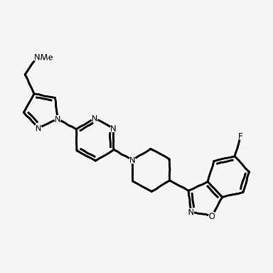 CNCc1cnn(-c2ccc(N3CCC(c4noc5ccc(F)cc45)CC3)nn2)c1